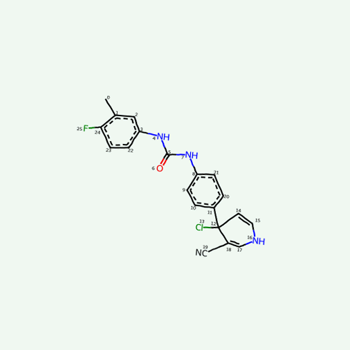 Cc1cc(NC(=O)Nc2ccc(C3(Cl)C=CNC=C3C#N)cc2)ccc1F